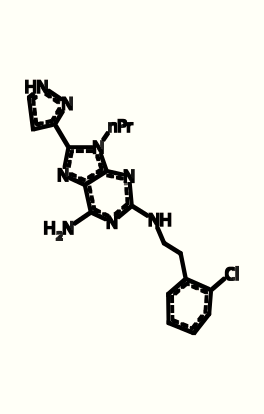 CCCn1c(-c2cc[nH]n2)nc2c(N)nc(NCCc3ccccc3Cl)nc21